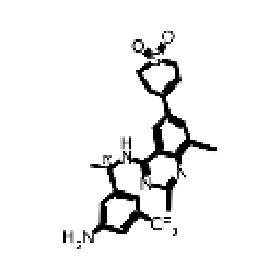 Cc1nc(N[C@H](C)c2cc(N)cc(C(F)(F)F)c2)c2cc(C3=CCS(=O)(=O)CC3)cc(C)c2n1